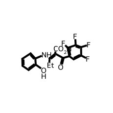 CCC(Nc1ccccc1O)=C(C(=O)O)C(=O)c1cc(F)c(F)c(F)c1F